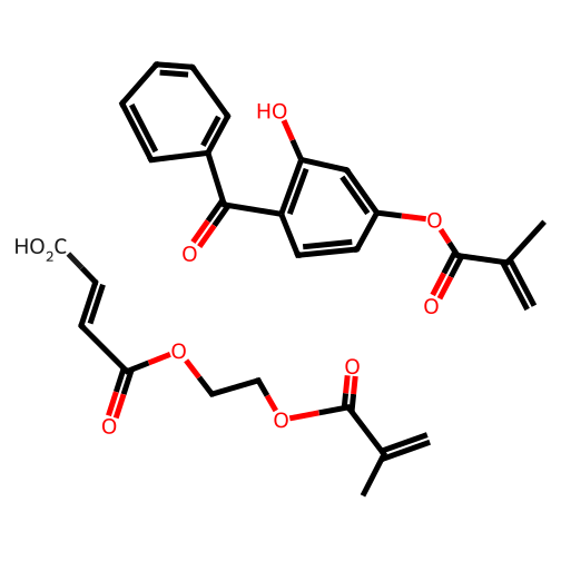 C=C(C)C(=O)OCCOC(=O)C=CC(=O)O.C=C(C)C(=O)Oc1ccc(C(=O)c2ccccc2)c(O)c1